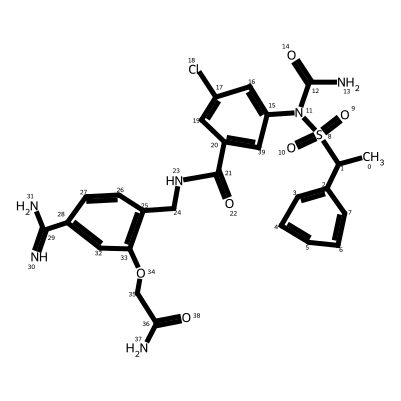 CC(c1ccccc1)S(=O)(=O)N(C(N)=O)c1cc(Cl)cc(C(=O)NCc2ccc(C(=N)N)cc2OCC(N)=O)c1